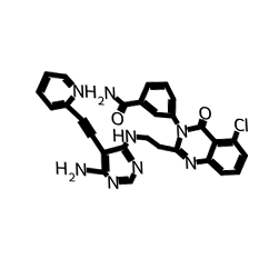 NC(=O)c1cccc(-n2c(CCNc3ncnc(N)c3C#Cc3ccccn3)nc3cccc(Cl)c3c2=O)c1